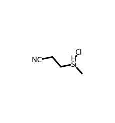 C[SiH](Cl)CCC#N